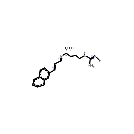 [H]/N=C(\N)NCCC[C@H](/N=C/C=C/c1ccc2ccccc2c1)C(=O)O